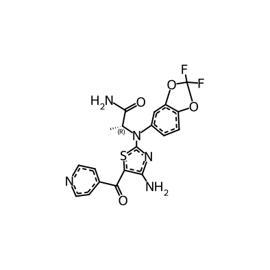 C[C@H](C(N)=O)N(c1ccc2c(c1)OC(F)(F)O2)c1nc(N)c(C(=O)c2ccncc2)s1